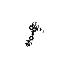 CC1(C)OB(c2ccc(COc3cc(C(F)(F)F)nc4c(C(F)(F)F)cccc34)cc2)OC1(C)C